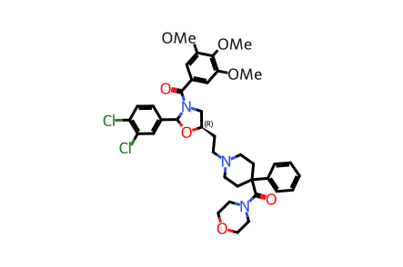 COc1cc(C(=O)N2C[C@@H](CCN3CCC(C(=O)N4CCOCC4)(c4ccccc4)CC3)OC2c2ccc(Cl)c(Cl)c2)cc(OC)c1OC